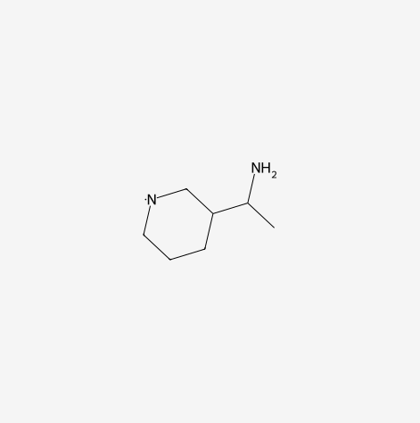 CC(N)C1CCC[N]C1